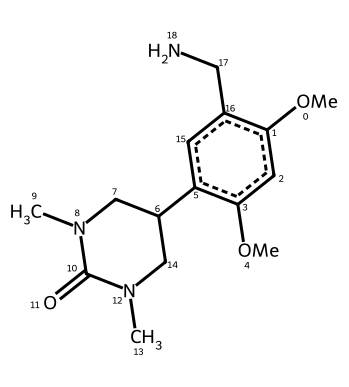 COc1cc(OC)c(C2CN(C)C(=O)N(C)C2)cc1CN